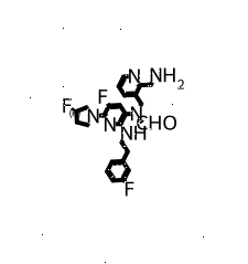 NCc1ncccc1CN(C=O)c1cc(F)c(N2CC[C@@H](F)C2)nc1NCCc1cccc(F)c1